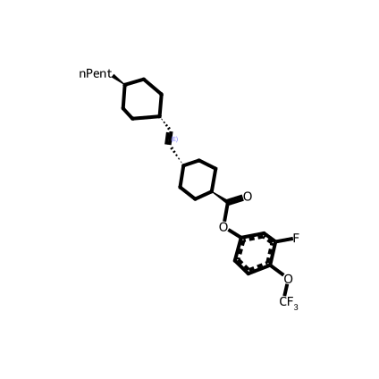 CCCCC[C@H]1CC[C@H](/C=C/[C@H]2CC[C@H](C(=O)Oc3ccc(OC(F)(F)F)c(F)c3)CC2)CC1